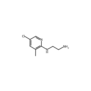 Cc1cc(Cl)cnc1NCCN